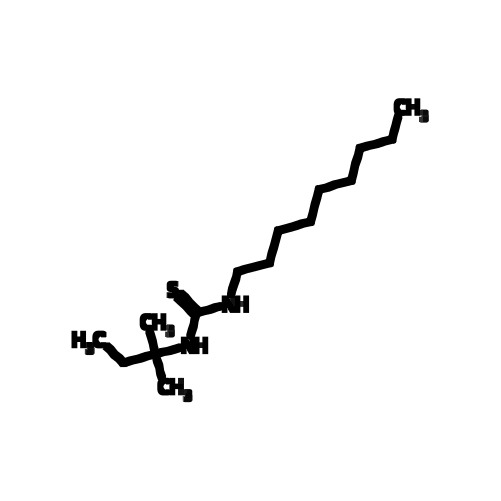 CCCCCCCCCNC(=S)NC(C)(C)CC